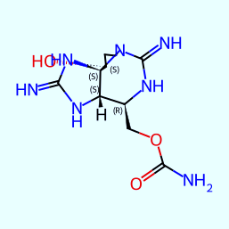 N=C1N[C@H]2[C@H](COC(N)=O)NC(=N)N3CC[C@H](O)[C@]23N1